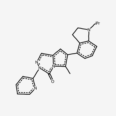 Cc1c(-c2cccc3c2CCN3C(C)C)cc2cnn(-c3ccccn3)c(=O)n12